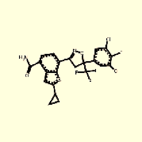 NC(=O)c1ccc(C2=NOC(c3cc(Cl)c(F)c(Cl)c3)(C(F)(F)F)C2)c2sc(C3CC3)cc12